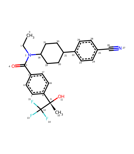 CCN(C(=O)c1ccc([C@](C)(O)C(F)(F)F)cc1)C1CCC(c2ccc(C#N)cc2)CC1